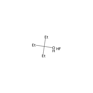 CCC(O)(CC)CC.F